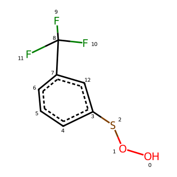 OOSc1cccc(C(F)(F)F)c1